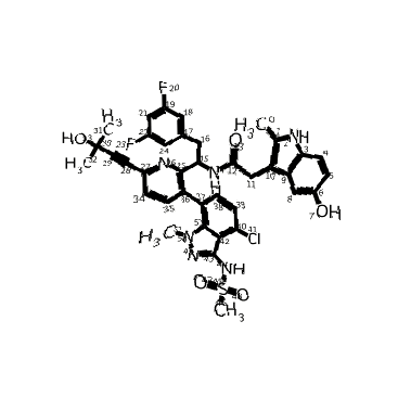 Cc1[nH]c2ccc(O)cc2c1CC(=O)NC(Cc1cc(F)cc(F)c1)c1nc(C#CC(C)(C)O)ccc1-c1ccc(Cl)c2c(NS(C)(=O)=O)nn(C)c12